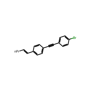 CCCC=Cc1ccc(C#Cc2ccc(Br)cc2)cc1